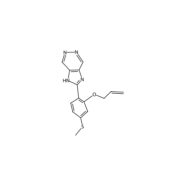 C=CCOc1cc(SC)ccc1-c1nc2cnncc2[nH]1